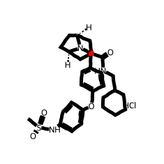 CS(=O)(=O)Nc1ccc(Oc2ccc(CN3[C@@H]4CC[C@H]3CC(C(=O)NCC3CCCCC3)C4)cc2)cc1.Cl